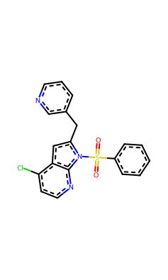 O=S(=O)(c1ccccc1)n1c(Cc2cccnc2)cc2c(Cl)ccnc21